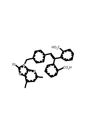 CCc1nc2c(C)cc(C)nc2n1Cc1ccc(C=C(c2ccccc2C(=O)O)c2ccccc2C(=O)O)cc1